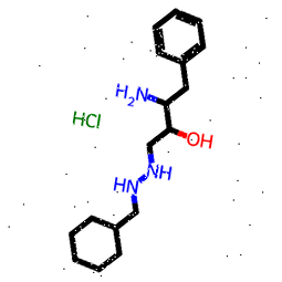 Cl.NC(Cc1ccccc1)C(O)CNNCC1CCCCC1